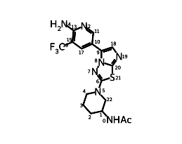 CC(=O)NC1CCCN(c2nn3c(-c4cnc(N)c(C(F)(F)F)c4)cnc3s2)C1